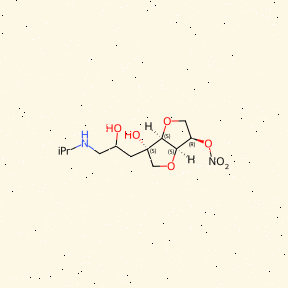 CC(C)NCC(O)C[C@]1(O)CO[C@@H]2[C@H](O[N+](=O)[O-])CO[C@@H]21